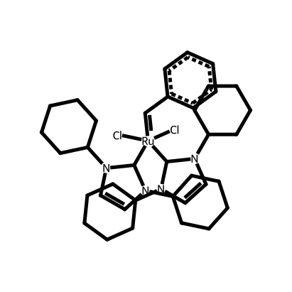 [Cl][Ru]([Cl])(=[CH]c1ccccc1)([CH]1N(C2CCCCC2)C=CN1C1CCCCC1)[CH]1N(C2CCCCC2)C=CN1C1CCCCC1